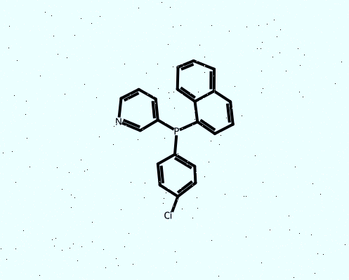 Clc1ccc(P(c2cccnc2)c2cccc3ccccc23)cc1